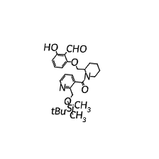 CC(C)(C)[Si](C)(C)OCc1ncccc1C(=O)N1CCCCC1COc1cccc(O)c1C=O